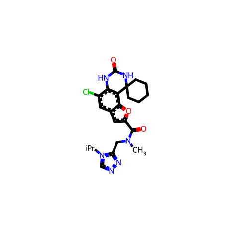 CC(C)n1cnnc1CN(C)C(=O)c1cc2cc(Cl)c3c(c2o1)C1(CCCCC1)NC(=O)N3